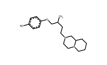 CC(CCN1CCN2CCCCC2C1)COc1ccc(C#N)cc1